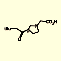 CC(C)(C)CC(=O)[C@@H]1CCN(CC(=O)O)C1